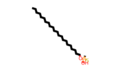 CCCCCCCCCCCCCCCCCCCCCCOP(C)(O)=S